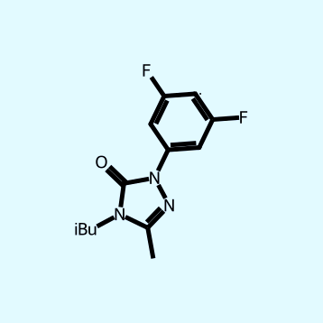 CCC(C)n1c(C)nn(-c2cc(F)[c]c(F)c2)c1=O